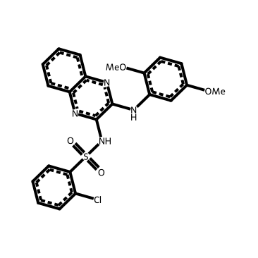 COc1ccc(OC)c(Nc2nc3ccccc3nc2NS(=O)(=O)c2ccccc2Cl)c1